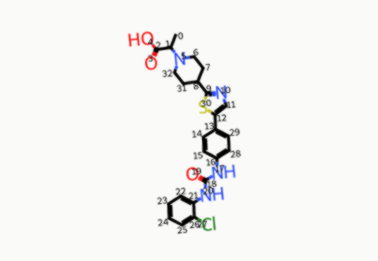 CC(C(=O)O)N1CCC(c2ncc(-c3ccc(NC(=O)Nc4ccccc4Cl)cc3)s2)CC1